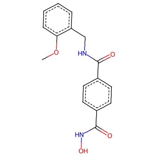 COc1ccccc1CNC(=O)c1ccc(C(=O)NO)cc1